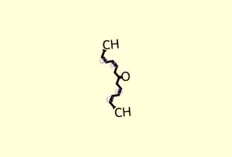 C#C/C=C\C=C/CC(=O)C/C=C\C=C/C#C